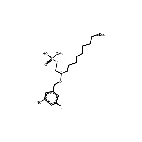 CCCCCCCCCCCCCCCCCC[C@H](COP(=O)(O)OC)OCc1cc(Cl)cc(C#N)c1